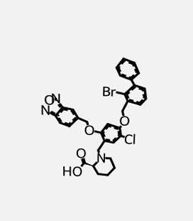 O=C(O)[C@@H]1CCCCN1Cc1cc(Cl)c(OCc2cccc(-c3ccccc3)c2Br)cc1OCc1ccc2nonc2c1